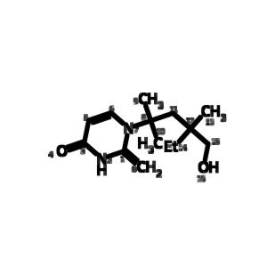 C=C1NC(=O)C=CN1C(C)(C)CC(C)(CC)CO